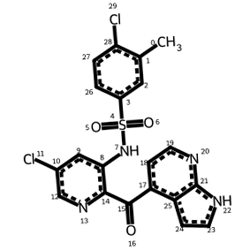 Cc1cc(S(=O)(=O)Nc2cc(Cl)cnc2C(=O)c2ccnc3[nH]ccc23)ccc1Cl